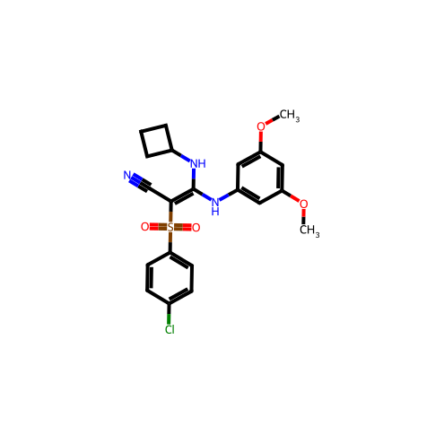 COc1cc(NC(NC2CCC2)=C(C#N)S(=O)(=O)c2ccc(Cl)cc2)cc(OC)c1